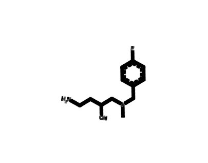 CN(Cc1ccc(F)cc1)CC(O)CCN